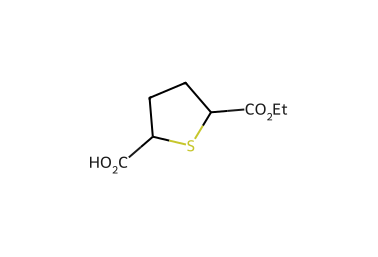 CCOC(=O)C1CCC(C(=O)O)S1